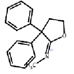 C/N=C1/OCCC1(c1ccccc1)c1ccccc1